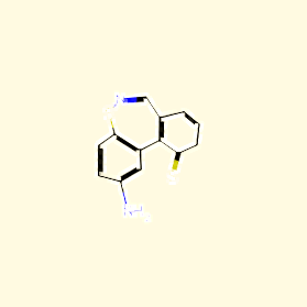 Nc1ccc2c(c1)C1=C(C=CCC1=S)C=NS2